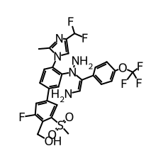 Cc1nc(C(F)F)cn1-c1ccc(-c2cc(F)c(CO)c(S(C)(=O)=O)c2)cc1N(N)/C(=C\N)c1ccc(OC(F)(F)F)cc1